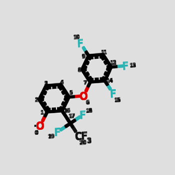 [O]c1cccc(Oc2cc(F)cc(F)c2F)c1C(F)(F)C(F)(F)F